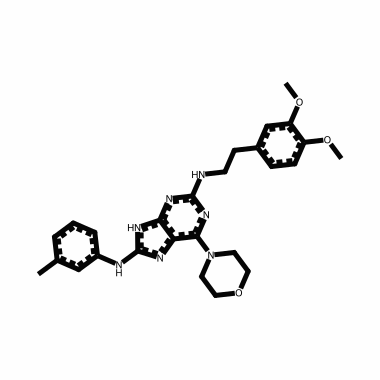 COc1ccc(CCNc2nc(N3CCOCC3)c3nc(Nc4cccc(C)c4)[nH]c3n2)cc1OC